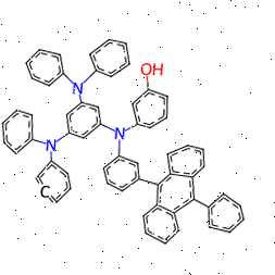 Oc1cccc(N(c2cccc(-c3c4ccccc4c(-c4ccccc4)c4ccccc34)c2)c2cc(N(c3ccccc3)c3ccccc3)cc(N(c3ccccc3)c3ccccc3)c2)c1